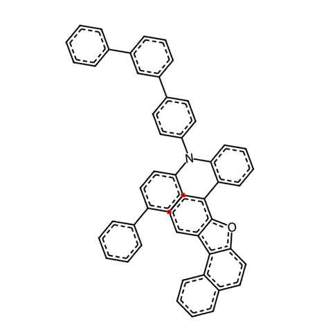 c1ccc(-c2ccc(N(c3ccc(-c4cccc(-c5ccccc5)c4)cc3)c3ccccc3-c3cccc4c3oc3ccc5ccccc5c34)cc2)cc1